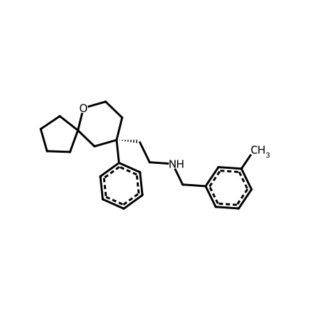 Cc1cccc(CNCC[C@@]2(c3ccccc3)CCOC3(CCCC3)C2)c1